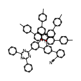 Cc1ccc(-c2ccc3c(c2)c2cc(-c4ccc(C)cc4)ccc2n3-c2ccc(-c3nc(-c4ccccc4)nc(-c4ccccc4)n3)cc2-c2ccc(-c3ccccc3C#N)cc2-n2c3ccc(-c4ccc(C)cc4)cc3c3cc(-c4ccc(C)cc4)ccc32)cc1